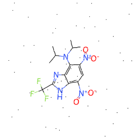 CC(C)N(c1c([N+](=O)[O-])cc([N+](=O)[O-])c2[nH]c(C(F)(F)F)nc12)C(C)C